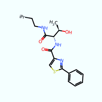 CC(C)CCNC(=O)[C@@H](NC(=O)c1csc(-c2ccccc2)n1)[C@@H](C)O